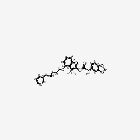 Cc1c(OC(=O)Nc2ccc3c(c2)OCO3)oc2cccc(OCCCNCc3cccnc3)c12